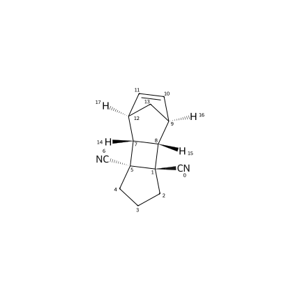 N#C[C@@]12CCC[C@@]1(C#N)[C@H]1[C@@H]2[C@@H]2C=C[C@H]1C2